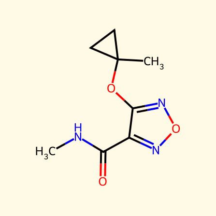 CNC(=O)c1nonc1OC1(C)CC1